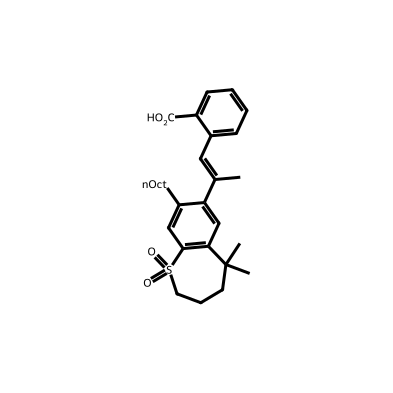 CCCCCCCCc1cc2c(cc1/C(C)=C/c1ccccc1C(=O)O)C(C)(C)CCCS2(=O)=O